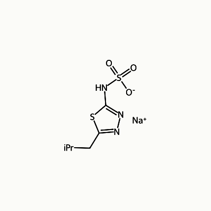 CC(C)Cc1nnc(NS(=O)(=O)[O-])s1.[Na+]